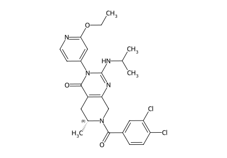 CCOc1cc(-n2c(NC(C)C)nc3c(c2=O)C[C@@H](C)N(C(=O)c2ccc(Cl)c(Cl)c2)C3)ccn1